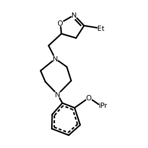 CCC1=NOC(CN2CCN(c3ccccc3OC(C)C)CC2)C1